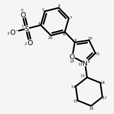 O=S(=O)([O-])c1cccc(-c2cc[n+](C3CCCCC3)o2)c1